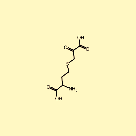 NC(CCSCC(=O)C(=O)O)C(=O)O